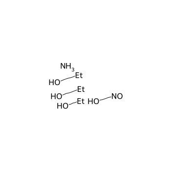 CCO.CCO.CCO.N.O=NO